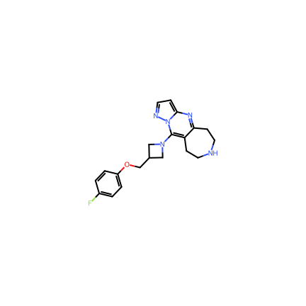 Fc1ccc(OCC2CN(c3c4c(nc5ccnn35)CCNCC4)C2)cc1